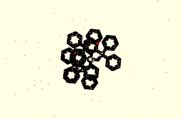 c1ccc([Si]([CH2][Cr]([CH2][Si](c2ccccc2)(c2ccccc2)c2ccccc2)([CH2][Si](c2ccccc2)(c2ccccc2)c2ccccc2)[CH2][Si](c2ccccc2)(c2ccccc2)c2ccccc2)(c2ccccc2)c2ccccc2)cc1